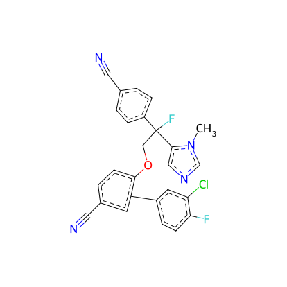 Cn1cncc1C(F)(COc1ccc(C#N)cc1-c1ccc(F)c(Cl)c1)c1ccc(C#N)cc1